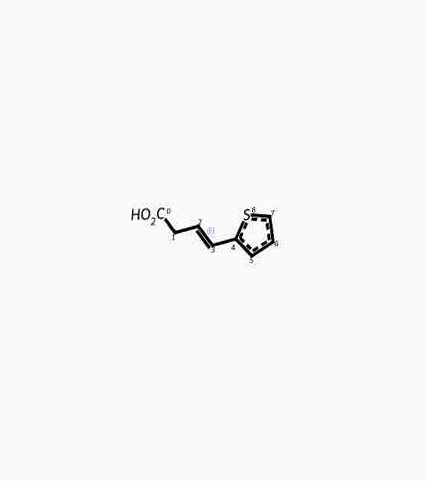 O=C(O)C/C=C/c1cccs1